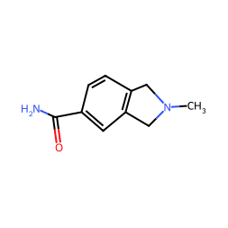 CN1Cc2ccc(C(N)=O)cc2C1